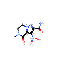 CN1CCn2nc(C(N)=O)c([N+](=O)[O-])c2C1=O